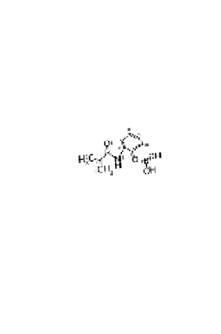 C=C(C)C(=O)Nc1ccccc1OB(O)O